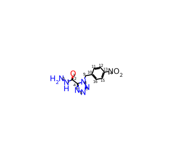 NNC(=O)c1nnnn1Cc1ccc([N+](=O)[O-])cc1